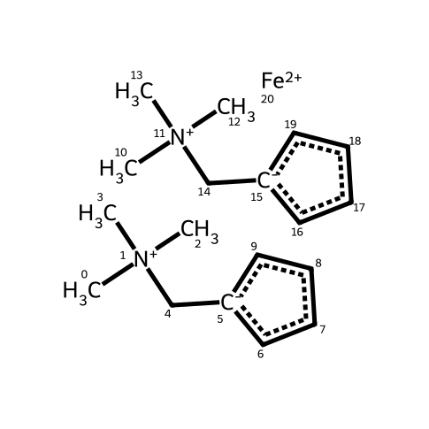 C[N+](C)(C)C[c-]1cccc1.C[N+](C)(C)C[c-]1cccc1.[Fe+2]